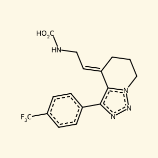 O=C(O)NC/C=C1\CCCn2nnc(-c3ccc(C(F)(F)F)cc3)c21